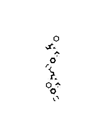 O[C@H]1CC[C@H](Nc2nc(Nc3cnn(-c4ccc(N5CCOC(c6cc7nc(Nc8cnn(-c9cccc(N%10CCOCC%10)c9)c8)nc(N[C@H]8CC[C@H](O)CC8)c7s6)C5)cc4)c3)nc3ccsc23)CC1